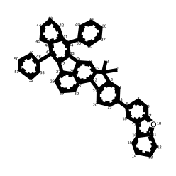 CC1(C)c2cc(-c3ccc4oc5ccccc5c4c3)ccc2-c2c1cc1c3c(cccc23)-c2c-1c(-c1ccccc1)c1ccccc1c2-c1ccccc1